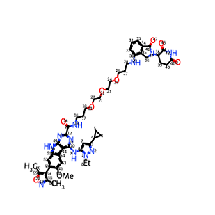 CCn1nc(C2CC2)cc1Nc1nc(C(=O)NCCCOCCOCCOCCCNc2cccc3c2CN(C2CCC(=O)NC2=O)C3=O)nc2[nH]c3cc(-c4c(C)noc4C)c(OC)cc3c12